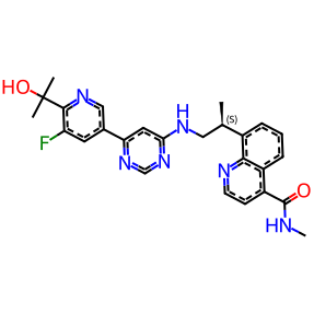 CNC(=O)c1ccnc2c([C@H](C)CNc3cc(-c4cnc(C(C)(C)O)c(F)c4)ncn3)cccc12